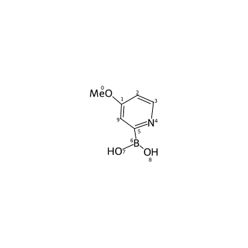 COc1ccnc(B(O)O)c1